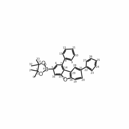 CC1(C)OB(c2cc(-c3ccccc3)c3c(c2)oc2ccc(-c4ccccc4)cc23)OC1(C)C